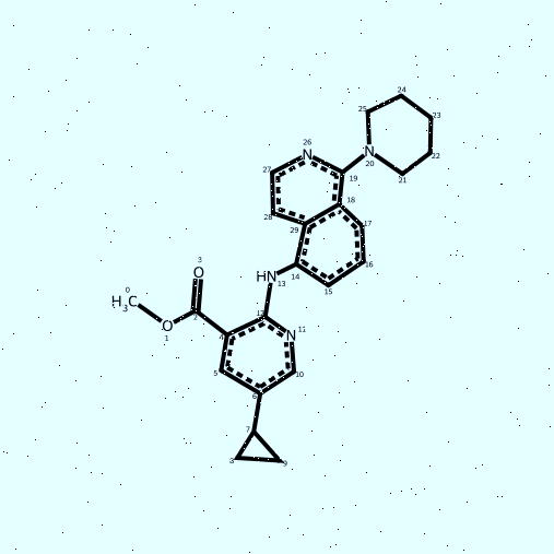 COC(=O)c1cc(C2CC2)cnc1Nc1cccc2c(N3CCCCC3)nccc12